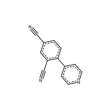 N#Cc1ccc(-c2c[c]ncc2)c(C#N)c1